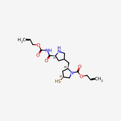 C=CCOC(=O)NC(=O)[C@@H]1CC(C[C@@H]2C[C@H](S)CN2C(=O)OCC=C)CN1